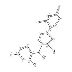 O=c1cnn(-c2ccc(C(O)c3ccc(Cl)cc3Cl)c(Cl)c2)c(=O)[nH]1